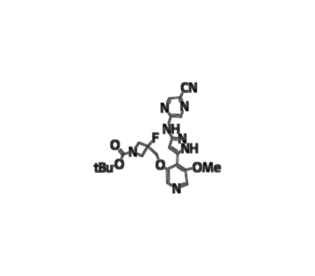 COc1cncc(OCC2(F)CN(C(=O)OC(C)(C)C)C2)c1-c1cc(Nc2cnc(C#N)cn2)n[nH]1